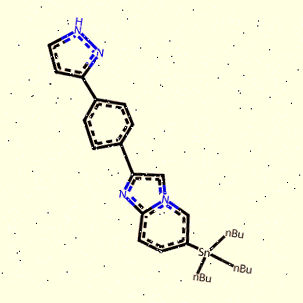 CCC[CH2][Sn]([CH2]CCC)([CH2]CCC)[c]1ccc2nc(-c3ccc(-c4cc[nH]n4)cc3)cn2c1